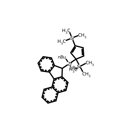 CCC[CH2][Zr]([CH2]CCC)([CH]1c2ccccc2-c2c1ccc1ccccc21)[C]1([Si](C)(C)C)C=CC([Si](C)(C)C)=C1